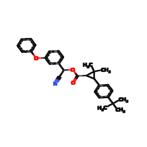 CC(C)(C)c1ccc(C2C(C(=O)OC(C#N)c3cccc(Oc4ccccc4)c3)C2(C)C)cc1